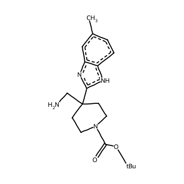 Cc1ccc2[nH]c(C3(CN)CCN(C(=O)OC(C)(C)C)CC3)nc2c1